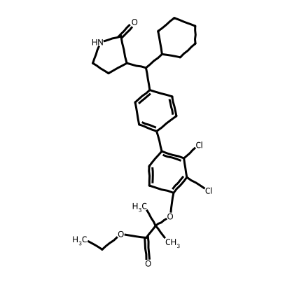 CCOC(=O)C(C)(C)Oc1ccc(-c2ccc(C(C3CCCCC3)C3CCNC3=O)cc2)c(Cl)c1Cl